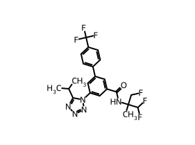 CC(C)c1nnnn1-c1cc(C(=O)NC(C)(CF)C(F)F)cc(-c2ccc(C(F)(F)F)cc2)c1